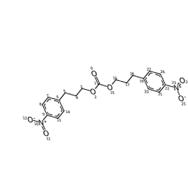 O=C(OCCCc1ccc([N+](=O)[O-])cc1)OCCCc1ccc([N+](=O)[O-])cc1